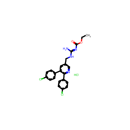 CCOC(=O)/N=C(\N)NCc1cnc(-c2ccc(Cl)cc2)c(-c2ccc(Cl)cc2)c1.Cl